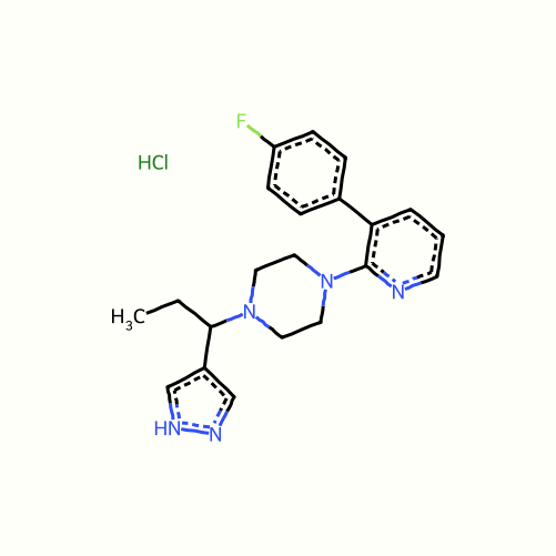 CCC(c1cn[nH]c1)N1CCN(c2ncccc2-c2ccc(F)cc2)CC1.Cl